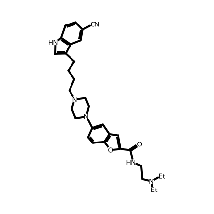 CCN(CC)CCNC(=O)c1cc2cc(N3CCN(CCCCc4c[nH]c5ccc(C#N)cc45)CC3)ccc2o1